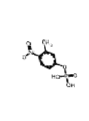 Cc1cc(OP(=O)(O)O)ccc1[N+](=O)[O-]